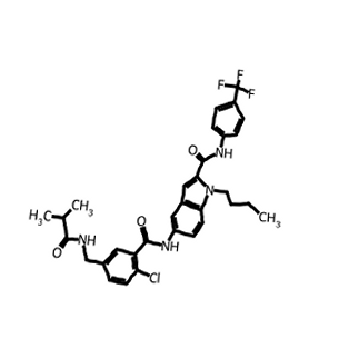 CCCCn1c(C(=O)Nc2ccc(C(F)(F)F)cc2)cc2cc(NC(=O)c3cc(CNC(=O)C(C)C)ccc3Cl)ccc21